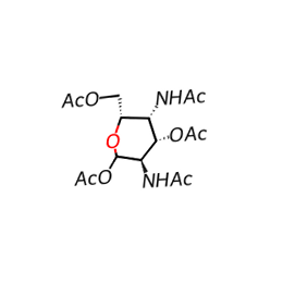 CC(=O)N[C@@H]1[C@H](OC(C)=O)[C@@H](NC(C)=O)C(OC(C)=O)O[C@@H]1COC(C)=O